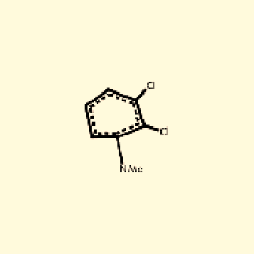 CNc1cccc(Cl)c1Cl